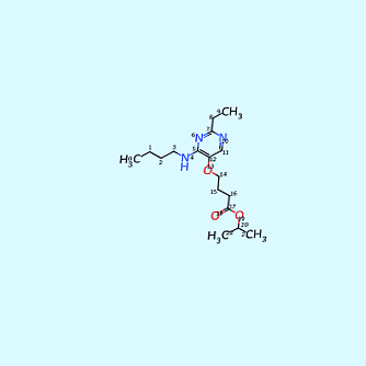 CCCCNc1nc(CC)ncc1OCCCC(=O)OC(C)C